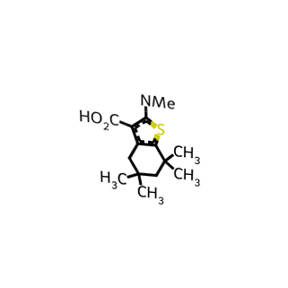 CNc1sc2c(c1C(=O)O)CC(C)(C)CC2(C)C